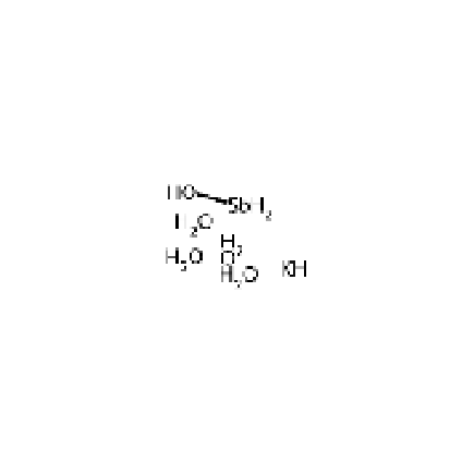 O.O.O.O.[KH].[OH][SbH2]